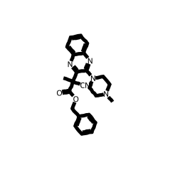 CN1CCN(c2nc3ccccc3nc2C(C)(C#N)C(=O)OCc2ccccc2)CC1